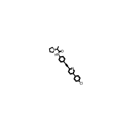 CC(C(=O)Nc1ccc(C#Cc2ccc(-c3ccc(Cl)cc3)cn2)cc1)N1CCCC1